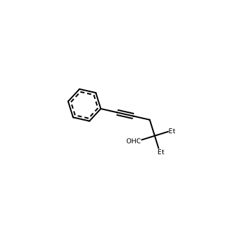 CCC(C=O)(CC)CC#Cc1ccccc1